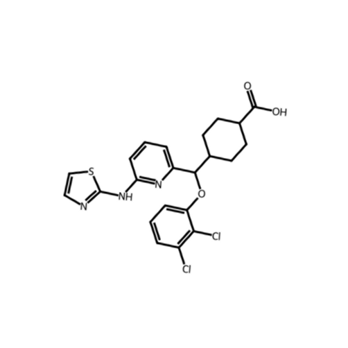 O=C(O)C1CCC(C(Oc2cccc(Cl)c2Cl)c2cccc(Nc3nccs3)n2)CC1